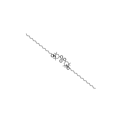 CCCCCCCCCCCCCCCCCON1C(C)(C)CC(OC(=O)OC2CC(C)(C)N(OCCCCCCCCCCCCCCCCC)C(C)(C)C2)CC1(C)C